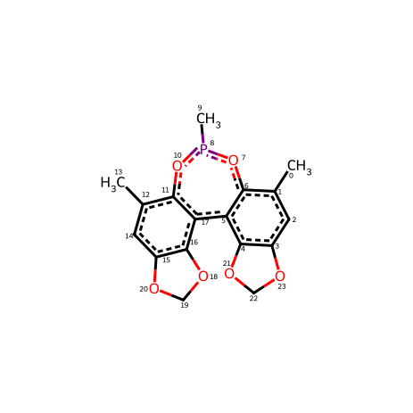 Cc1cc2c(c3c1op(C)oc1c(C)cc4c(c13)OCO4)OCO2